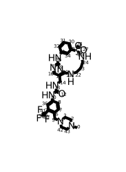 CN1CCN(Cc2ccc(NC(=O)NCc3cnc4nc3NCCCNS(=O)(=O)c3cccc(c3)N4)cc2C(F)(F)F)CC1